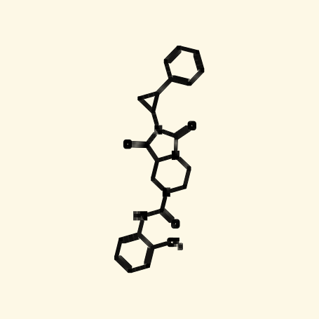 O=C(Nc1ccccc1C(F)(F)F)N1CCN2C(=O)N(C3CC3c3ccccc3)C(=O)C2C1